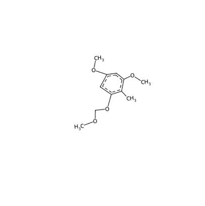 COCOc1cc(OC)cc(OC)c1C